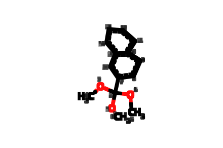 COC(OC)(OC)c1ccc2ccccc2c1